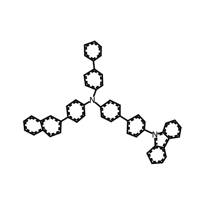 c1ccc(-c2ccc(N(c3ccc(-c4ccc(-n5c6ccccc6c6ccccc65)cc4)cc3)c3ccc(-c4ccc5ccccc5c4)cc3)cc2)cc1